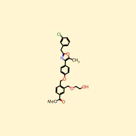 COC(=O)c1ccc(COc2ccc(-c3nc(Cc4cccc(Cl)c4)oc3C)cc2)c(COCCO)c1